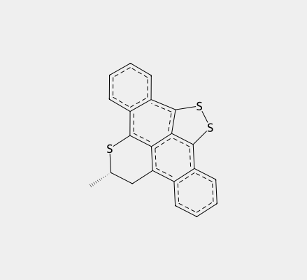 C[C@H]1Cc2c3ccccc3c3c4c(c5ccccc5c(c24)S1)SS3